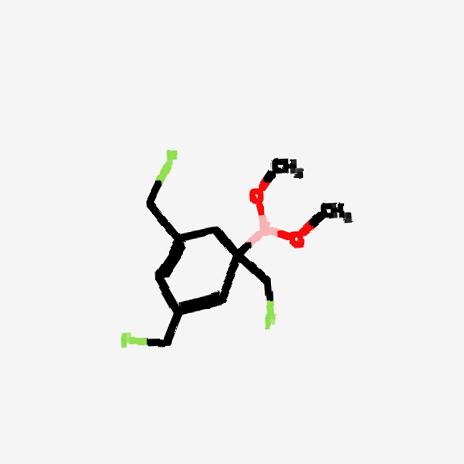 COB(OC)C1(CF)C=C(CF)C=C(CF)C1